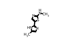 CNc1ncc(-c2ncc(C)[nH]2)s1